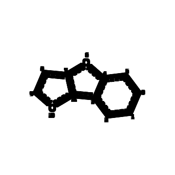 c1ccc2c(c1)oc1ccoc12